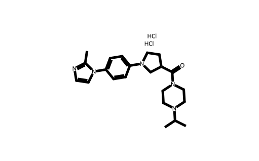 Cc1nccn1-c1ccc(N2CCC(C(=O)N3CCN(C(C)C)CC3)C2)cc1.Cl.Cl